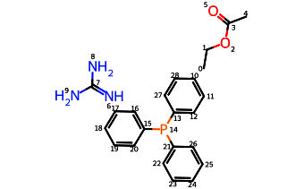 CCOC(C)=O.N=C(N)N.c1ccc(P(c2ccccc2)c2ccccc2)cc1